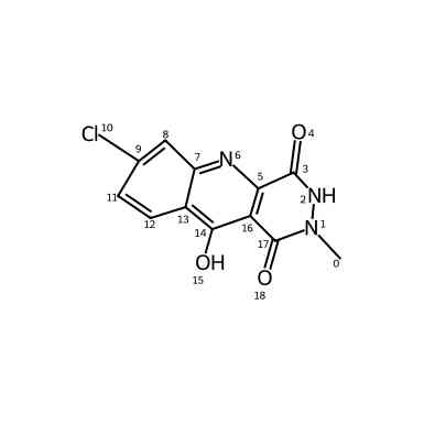 Cn1[nH]c(=O)c2nc3cc(Cl)ccc3c(O)c2c1=O